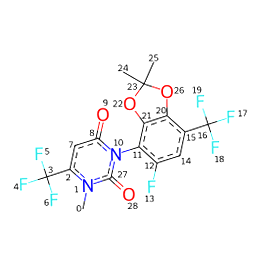 Cn1c(C(F)(F)F)cc(=O)n(-c2c(F)cc(C(F)(F)F)c3c2OC(C)(C)O3)c1=O